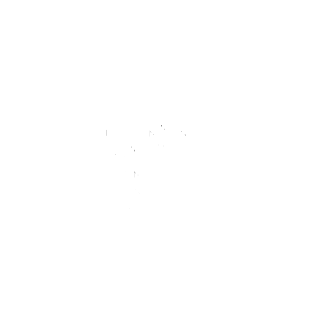 CC1Cn2nc(NCC3CCOC3)cc2CN1C(=O)c1cc2ccccc2[nH]1